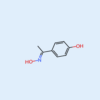 CC(=NO)c1ccc(O)cc1